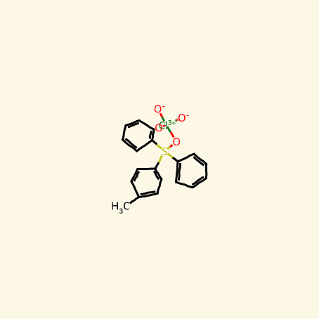 Cc1ccc(S(O[Cl+3]([O-])([O-])[O-])(c2ccccc2)c2ccccc2)cc1